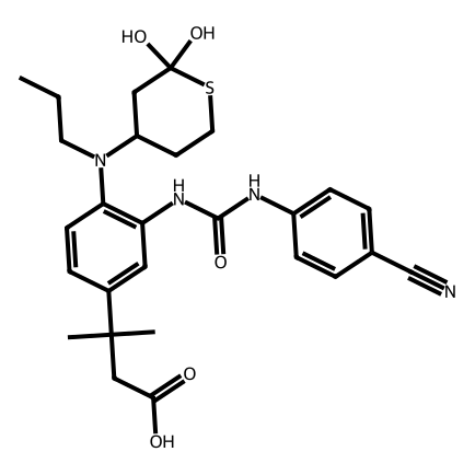 CCCN(c1ccc(C(C)(C)CC(=O)O)cc1NC(=O)Nc1ccc(C#N)cc1)C1CCSC(O)(O)C1